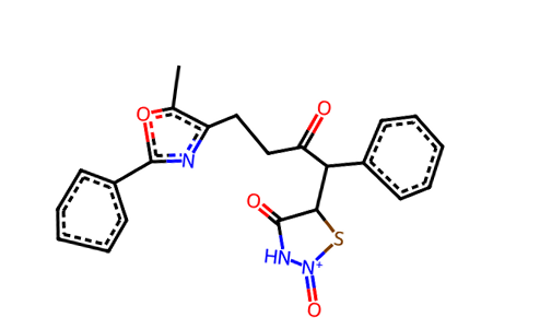 Cc1oc(-c2ccccc2)nc1CCC(=O)C(c1ccccc1)C1S[N+](=O)NC1=O